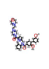 COc1cccc(-c2ccc(C(=O)N3Cc4ccc(C(=O)N5CCN(CCN6CCOCC6)CC5)n4Cc4ccccc43)cc2OC)c1